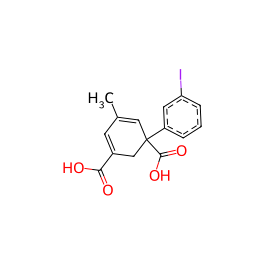 CC1=CC(C(=O)O)(c2cccc(I)c2)CC(C(=O)O)=C1